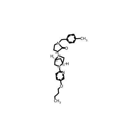 CCCCOc1ccc(N2C[C@@H]3C[C@H]2CN3[C@@H]2CCN(Cc3ccc(C)cc3)C2=O)nc1